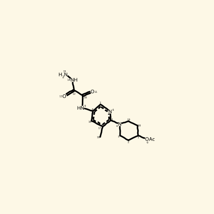 CC(=O)OC1CCN(c2ncc(NC(=O)C(=O)NN)cc2C)CC1